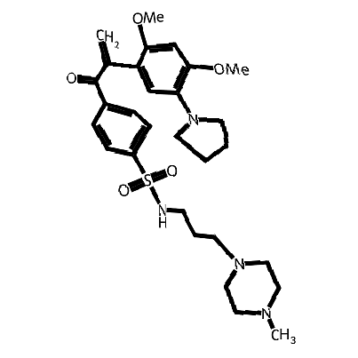 C=C(C(=O)c1ccc(S(=O)(=O)NCCCN2CCN(C)CC2)cc1)c1cc(N2CCCC2)c(OC)cc1OC